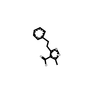 Cc1onc(CCc2ccccc2)c1C(=O)Cl